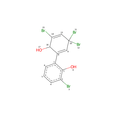 Oc1c(Br)cccc1C1=CC(Br)(Br)C=C(Br)C1O